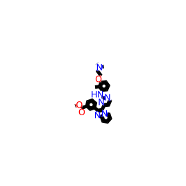 COC(=O)c1cccc(-c2nc3ccccn3c2-c2ccnc(Nc3cccc(OCCN(C)C)c3C)n2)c1